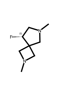 CN1C[C@@H](F)C2(C1)CN(C)C2